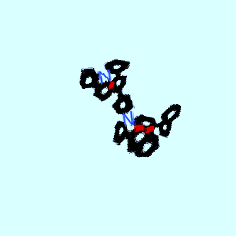 c1ccc(N(c2ccc(-c3ccc(-c4ccccc4-n4c5ccccc5c5ccccc54)cc3)cc2)c2ccc(-c3cccc4ccccc34)cc2)c(-c2ccc3ccccc3c2)c1